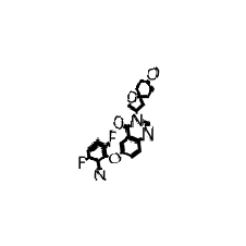 N#Cc1c(F)ccc(F)c1Oc1ccc2ncn([C@H]3COC4(CCC(=O)CC4)C3)c(=O)c2c1